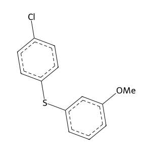 COc1cccc(Sc2ccc(Cl)cc2)c1